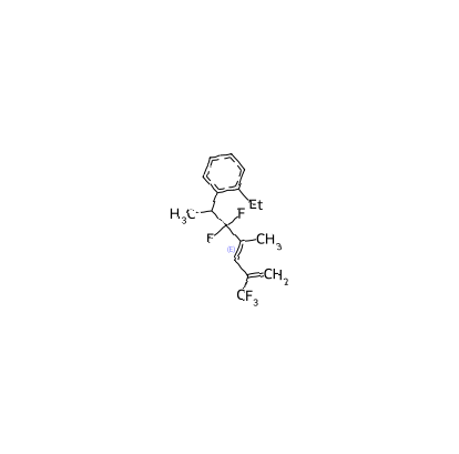 C=C(/C=C(\C)C(F)(F)C(C)c1ccccc1CC)C(F)(F)F